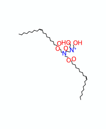 CCCCCCCC/C=C\CCCCCCCC(=O)OCCN(CCOC(=O)CCCCCCC/C=C\CCCCCCCC)C(=O)C[N+](C)(CCO)CCO